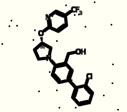 OCc1cc(-c2ccccc2Cl)ccc1N1CC[C@H](Oc2ccc(C(F)(F)F)cn2)C1